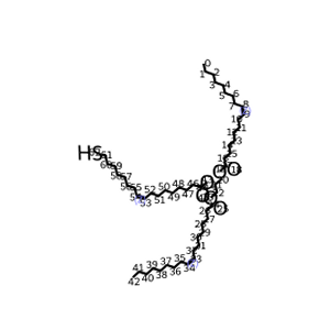 CCCCCCCC/C=C\CCCCCCCC(=O)OCC(COC(=O)CCCCCCC/C=C\CCCCCCCC)OC(=O)CCCCCCC/C=C\CCCCCCCS